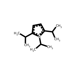 CC(C)c1ccc(C(C)C)n1C(C)C